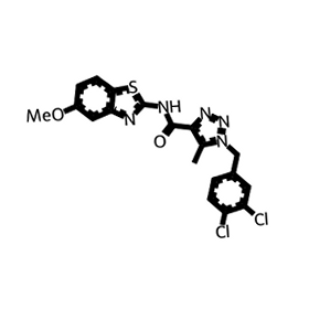 COc1ccc2sc(NC(=O)c3nnn(Cc4ccc(Cl)c(Cl)c4)c3C)nc2c1